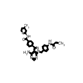 C=CC(=O)Nc1ccc(Cn2nc(-c3ccc(C(=O)Nc4cc(C(F)(F)F)ccn4)cc3)c3c(N)ncnc32)cc1